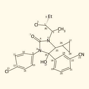 CC[C@@H](Cl)C(C)N1C(=O)N(c2ccc(Cl)cc2)C(O)(c2cccc(C#N)c2)C1C1CC1